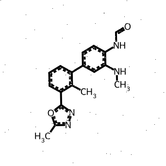 CNc1cc(-c2cccc(-c3nnc(C)o3)c2C)ccc1NC=O